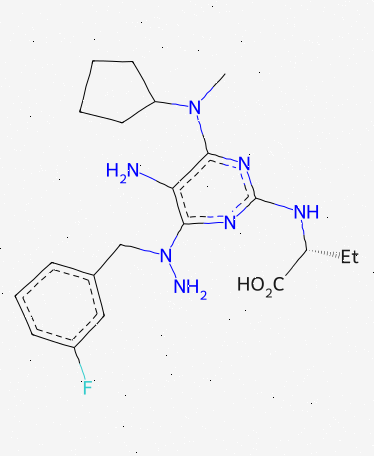 CC[C@@H](Nc1nc(N(N)Cc2cccc(F)c2)c(N)c(N(C)C2CCCC2)n1)C(=O)O